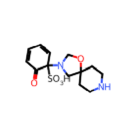 O=C1C=CC=CC1(N1COC2(CCNCC2)C1)S(=O)(=O)O